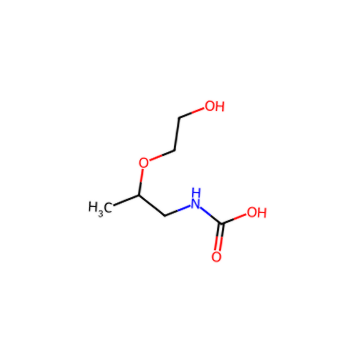 CC(CNC(=O)O)OCCO